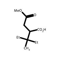 CCC(C)(CC)C(CC(=O)OC)C(=O)O